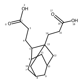 O=C(O)CCC1C2CC3CC(C2)CC1(CCC(=O)O)C3